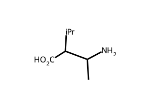 CC(C)C(C(=O)O)C(C)N